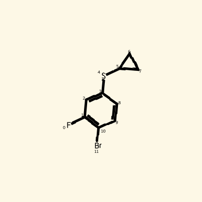 Fc1cc(SC2CC2)ccc1Br